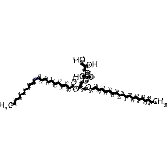 CCCCCCCCCC/C=C\CCCCCCCCCC(=O)O[C@H](COCCCCCCCCCCCCCCCCCCCC)COP(=O)(O)OC[C@@H](O)CO